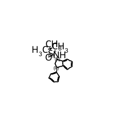 CC(C)(C)[S@@+]([O-])N[C@@H]1C[C@H](c2ccccc2)c2ccccc21